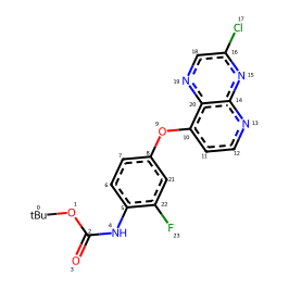 CC(C)(C)OC(=O)Nc1ccc(Oc2ccnc3nc(Cl)cnc23)cc1F